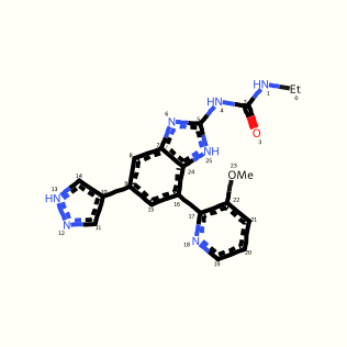 CCNC(=O)Nc1nc2cc(-c3cn[nH]c3)cc(-c3ncccc3OC)c2[nH]1